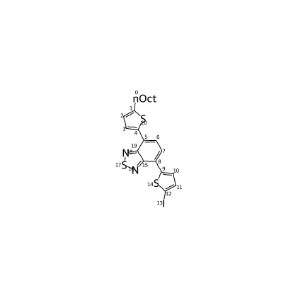 CCCCCCCCc1ccc(-c2ccc(-c3ccc(I)s3)c3nsnc23)s1